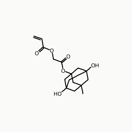 C=CC(=O)OCC(=O)OC12CC3(C)CC(O)(CC(O)(C3)C1)C2